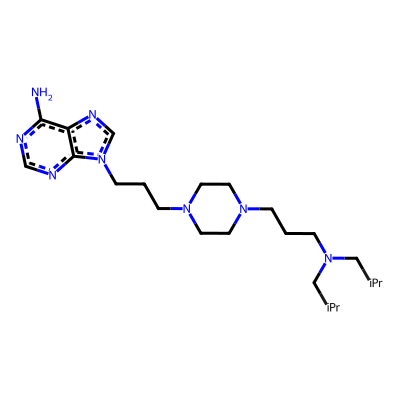 CC(C)CN(CCCN1CCN(CCCn2cnc3c(N)ncnc32)CC1)CC(C)C